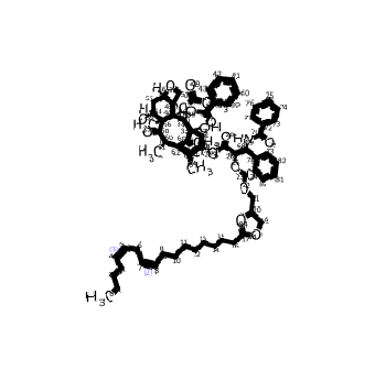 CCCC/C=C\C/C=C\CCCCCCCCC1OCC(COC(=O)O[C@@H](C(=O)O[C@H]2C[C@@]3(O)[C@@H](OC(=O)c4ccccc4)[C@@H]4[C@]5(OC(C)=O)CO[C@@H]5C[C@H](O)[C@@]4(C)C(=O)[C@H](C)C(=C2C)C3(C)C)[C@@H](NC(=O)c2ccccc2)c2ccccc2)O1